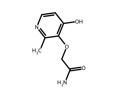 Cc1nccc(O)c1OCC(N)=O